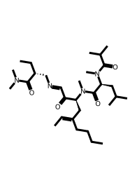 C/C=C(\CCCC)C[C@@H](C(=O)/C=N/C[C@@H](CC)C(=O)N(C)C)N(C)C(=O)[C@H](CC(C)C)N(C)C(=O)C(C)C